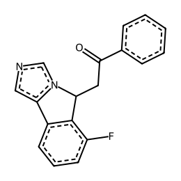 O=C(CC1c2c(F)cccc2-c2cncn21)c1ccccc1